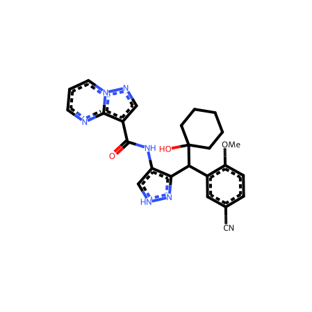 COc1ccc(C#N)cc1C(c1n[nH]cc1NC(=O)c1cnn2cccnc12)C1(O)CCCCC1